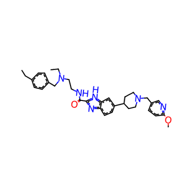 CCc1ccc(CN(CC)CCNC(=O)c2nc3ccc(C4CCN(Cc5ccc(OC)nc5)CC4)cc3[nH]2)cc1